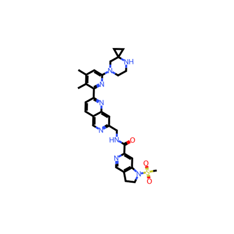 Cc1cc(N2CCNC3(CC3)C2)nc(-c2ccc3cnc(CNC(=O)c4cc5c(cn4)CCN5S(C)(=O)=O)cc3n2)c1C